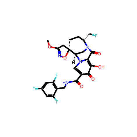 COC1=NO[C@@]2(CC[C@H](CF)N3C[C@H]2n2cc(C(=O)NCc4c(F)cc(F)cc4F)c(=O)c(O)c2C3=O)C1